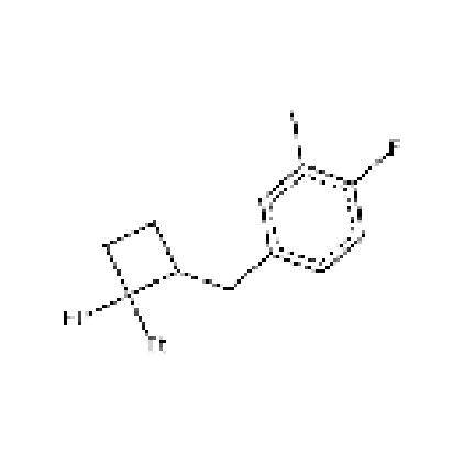 CCC1(CC)CCC1Cc1ccc(F)c(C)c1